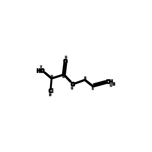 C=CCOC(=O)C(O)Cl